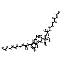 C#C[C@](COC(=O)CCCCCCCCC)(OC)[C@@H](O)Cn1cnc2c(NC(=O)CCCCCCCCC)nc(F)nc21